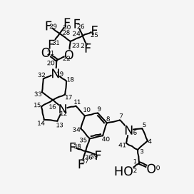 O=C(O)C1CCN(CC2=CC(CN3CCCC34CCN(C(=O)OC(C(F)(F)F)C(F)(F)F)CC4)CC(C(F)(F)F)=C2)C1